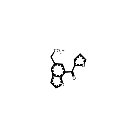 O=C(O)Cc1cc(C(=O)c2ccco2)c2occc2c1